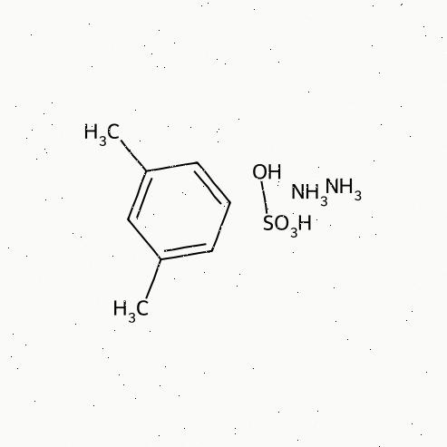 Cc1cccc(C)c1.N.N.O=S(=O)(O)O